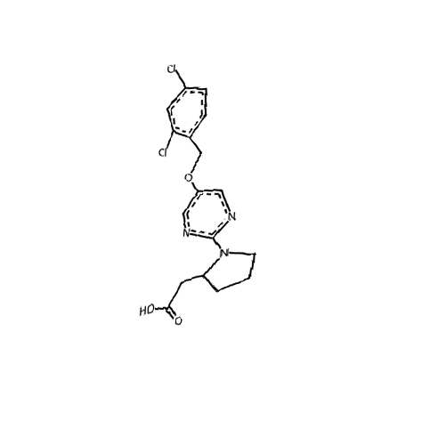 O=C(O)CC1CCCN1c1ncc(OCc2ccc(Cl)cc2Cl)cn1